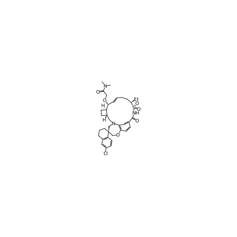 CC[C@@H]1CC/C=C/[C@H](OCC(=O)N(C)C)[C@@H]2CC[C@H]2CN2C[C@@]3(CCCc4cc(Cl)ccc43)COc3ccc(cc32)C(=O)NS1(=O)=O